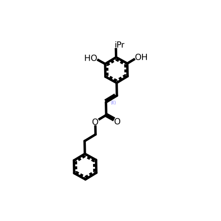 CC(C)c1c(O)cc(/C=C/C(=O)OCCc2ccccc2)cc1O